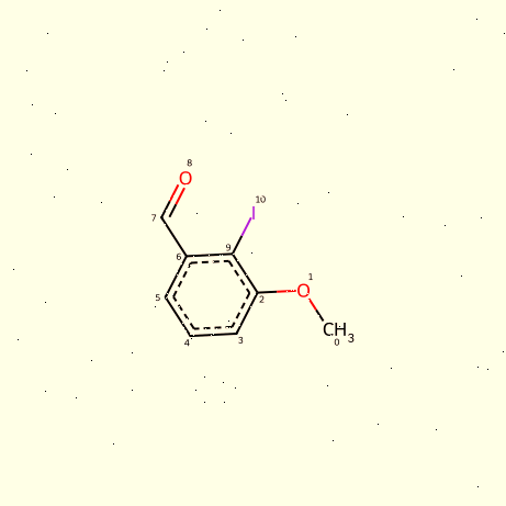 COc1cccc(C=O)c1I